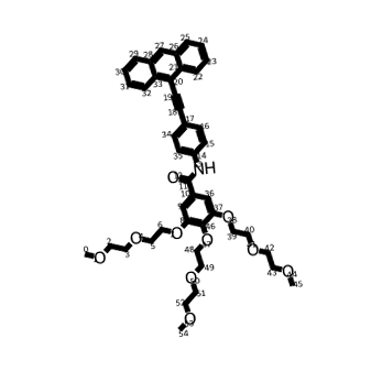 COCCOCCOc1cc(C(=O)Nc2ccc(C#Cc3c4ccccc4cc4ccccc34)cc2)cc(OCCOCCOC)c1OCCOCCOC